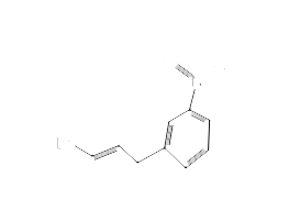 O=[N+]([O-])c1cccc(CC=CBr)c1